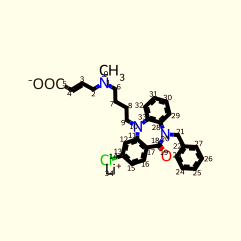 CN(C/C=C/C(=O)[O-])CCCCN1c2cc(Cl)ccc2C(=O)N(Cc2ccccc2)c2ccccc21.[Li+]